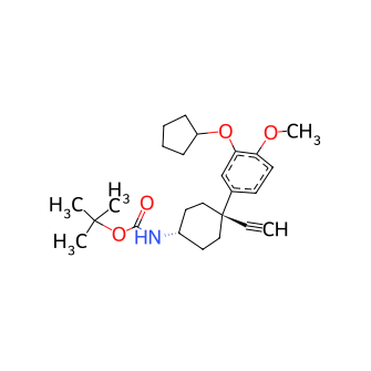 C#C[C@]1(c2ccc(OC)c(OC3CCCC3)c2)CC[C@@H](NC(=O)OC(C)(C)C)CC1